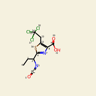 CCC(N=C=O)c1nc(C(=O)O)c(CC(Cl)(Cl)Cl)s1